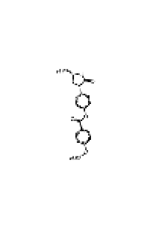 CCCCCCCCOc1ccc(C(=O)Oc2ccc([C@@H]3C[C@@H](CCCCCC)OC3=O)cc2)cc1